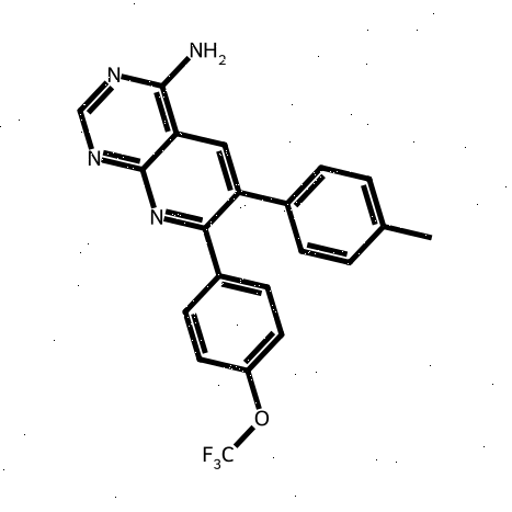 Cc1ccc(-c2cc3c(N)ncnc3nc2-c2ccc(OC(F)(F)F)cc2)cc1